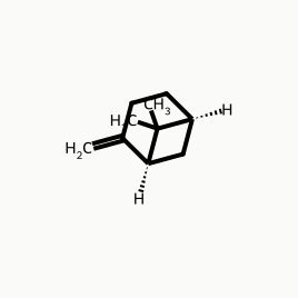 C=C1CC[C@H]2C[C@@H]1C2(C)C